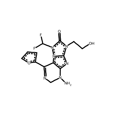 NN1CN=C(c2ccco2)c2c1nc1n(CCO)c(=O)n(C(F)F)n21